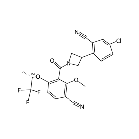 COc1c(C#N)ccc(O[C@@H](C)C(F)(F)F)c1C(=O)N1CC(c2ccc(Cl)cc2C#N)C1